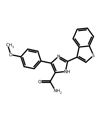 COc1ccc(-c2nc(-c3csc4ccccc34)[nH]c2C(N)=O)cc1